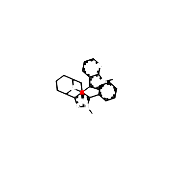 Cn1nc2c(c1-c1ccccc1)CC1CCCC2N1C(=O)c1cn(C)c2ncccc12